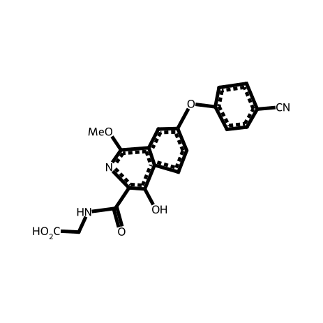 COc1nc(C(=O)NCC(=O)O)c(O)c2ccc(Oc3ccc(C#N)cc3)cc12